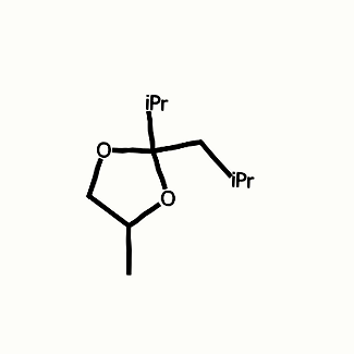 CC(C)CC1(C(C)C)OCC(C)O1